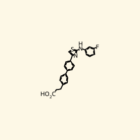 O=C(O)CCc1ccc(-c2ccc(-c3csc(Nc4cccc(F)c4)n3)cc2)cc1